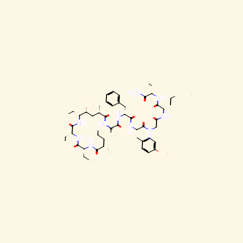 CC(=O)N[C@@H](CCC(=O)O)C(=O)N[C@@H](CC(C)C)C(=O)N[C@@H](CC(=O)O)C(=O)N[C@@H](CC(C)C)[C@@H](O)C[C@@H](C)C(=O)NC(C(=O)N[C@@H](Cc1ccccc1)C(=O)N[C@@H](Cc1ccc(O)cc1)C(=O)N[C@@H](C)C(=O)N[C@@H](CCC(=O)O)C(=O)N[C@@H](CC(=O)O)C(N)=O)C(C)C